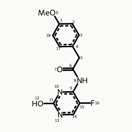 COc1ccc(CC(=O)Nc2nc(O)ncc2F)cc1